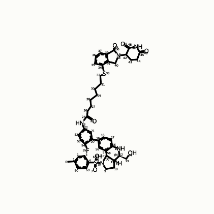 Cc1ccc(S(=O)(=O)N2CC[C@@H]3[C@H](CO)Nc4ccc(-c5cc(NC(=O)CCCCCCCSc6cccc7c6CN(C6CCC(=O)NC6=O)C7=O)ccc5F)cc4[C@@H]32)cc1